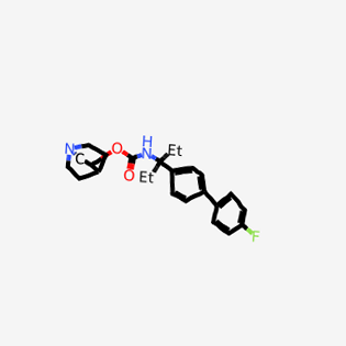 CCC(CC)(NC(=O)OC1CN2CCC1CC2)c1ccc(-c2ccc(F)cc2)cc1